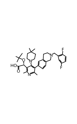 Cc1nc(C)c([C@H](OC(C)(C)C)C(=O)O)c(N2CCC(C)(C)CC2)c1-c1ccc2c(c1)CCN(Cc1cc(F)ccc1F)C2